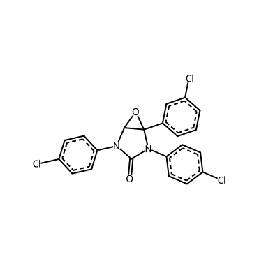 O=C1N(c2ccc(Cl)cc2)C2OC2(c2cccc(Cl)c2)N1c1ccc(Cl)cc1